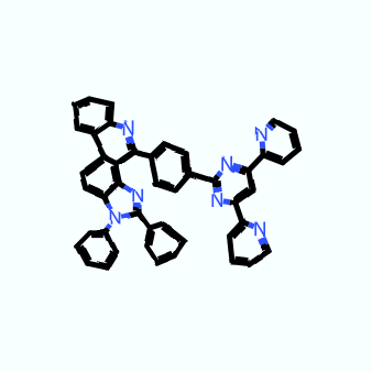 c1ccc(-c2nc3c4c(-c5ccc(-c6nc(-c7ccccn7)cc(-c7ccccn7)n6)cc5)nc5ccccc5c4ccc3n2-c2ccccc2)cc1